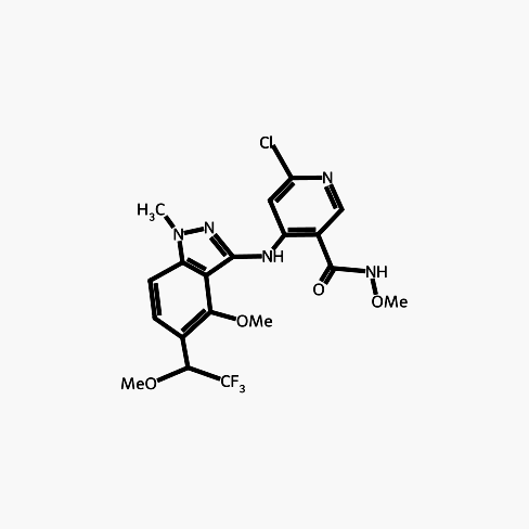 CONC(=O)c1cnc(Cl)cc1Nc1nn(C)c2ccc(C(OC)C(F)(F)F)c(OC)c12